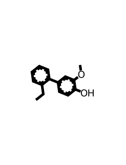 CCc1ccccc1-c1ccc(O)c(OC)c1